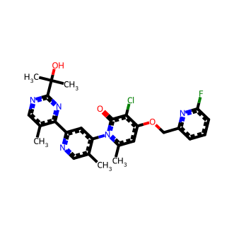 Cc1cnc(-c2nc(C(C)(C)O)ncc2C)cc1-n1c(C)cc(OCc2cccc(F)n2)c(Cl)c1=O